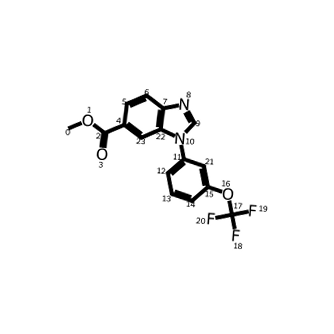 COC(=O)c1ccc2ncn(-c3cccc(OC(F)(F)F)c3)c2c1